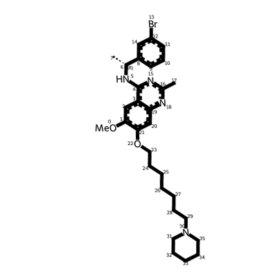 COc1cc2c(N[C@H](C)c3cccc(Br)c3)nc(C)nc2cc1OCCCCCCCN1CCCCC1